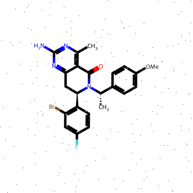 COc1ccc([C@H](C)N2C(=O)c3c(C)nc(N)nc3C[C@@H]2c2ccc(F)cc2Br)cc1